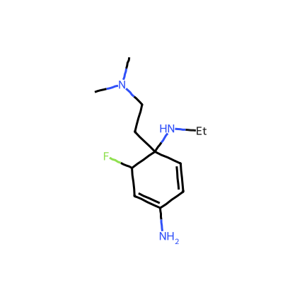 CCNC1(CCN(C)C)C=CC(N)=CC1F